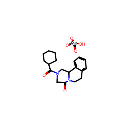 O=C(C1CCCCC1)N1CC(=O)N2CCc3ccccc3C2C1.[O]=[Mn](=[O])(=[O])[OH]